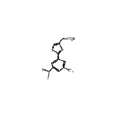 O=C(O)Cc1csc(-c2cc(C(F)F)cc(C(F)(F)F)c2)n1